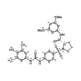 COc1cc(NC(=O)[C@@H]2CCCN2S(=O)(=O)c2ccc(NC(=O)Nc3cc(C)c(O)c(C)c3)cc2)cc(OC)c1